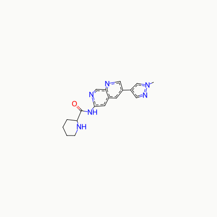 Cn1cc(-c2cnc3cnc(NC(=O)C4CCCCN4)cc3c2)cn1